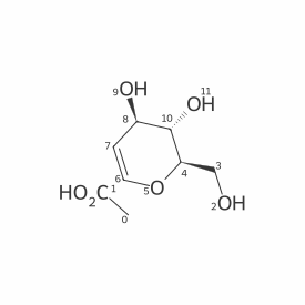 CC(=O)O.OC[C@H]1OC=C[C@@H](O)[C@@H]1O